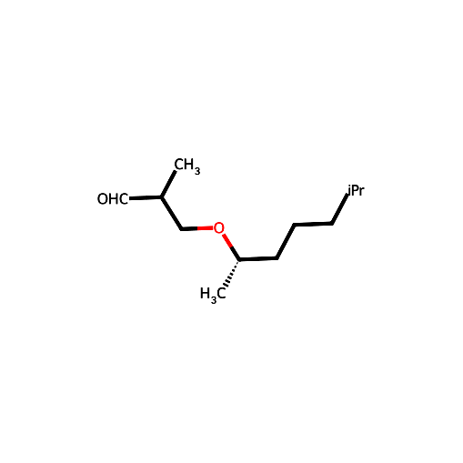 CC(C)CCC[C@H](C)OCC(C)C=O